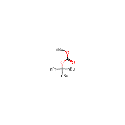 CCCCOC(=O)OC(CCC)(CCCC)CCCC